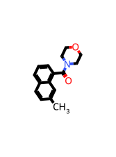 Cc1ccc2cccc(C(=O)N3CCOCC3)c2c1